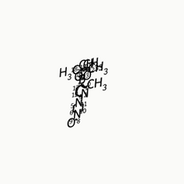 Cc1nc(N2CCN(C=O)CC2)ccc1B1OC(C)(C)C(C)(C)O1